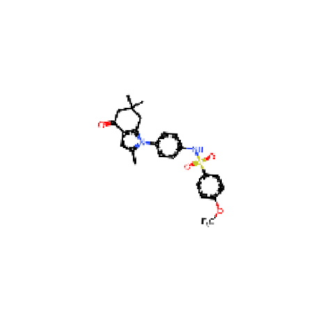 Cc1cc2c(n1-c1ccc(NS(=O)(=O)c3ccc(OC(F)(F)F)cc3)cc1)CC(C)(C)CC2=O